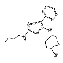 CCCCNc1ncc(-c2ncccn2)c(N[C@H]2CC[C@H](O)CC2)n1